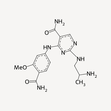 COc1cc(Nc2nc(NCC(C)N)ncc2C(N)=O)ccc1C(N)=O